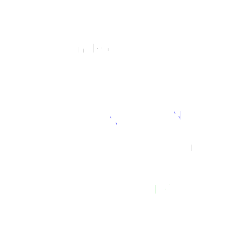 CCCCCCC1=CC=CN(CC)C1N1CCC(C)CC1.Cl